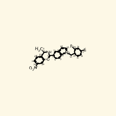 C[C@@H](NC(=O)c1ccc2c(ccn2Cc2ccc(F)cc2F)c1)c1ccc([N+](=O)[O-])cc1